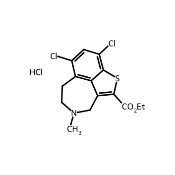 CCOC(=O)c1sc2c(Cl)cc(Cl)c3c2c1CN(C)CC3.Cl